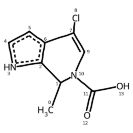 CC1c2[nH]ccc2C(Cl)=CN1C(=O)O